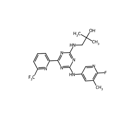 Cc1cc(Nc2nc(NCC(C)(C)O)nc(-c3cccc(C(F)(F)F)n3)n2)cnc1F